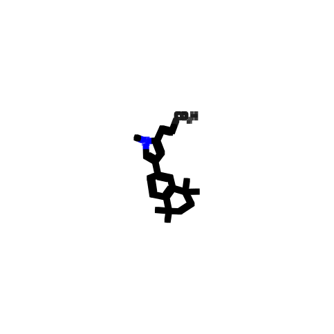 Cn1cc(-c2ccc3c(c2)C(C)(C)CCC3(C)C)cc1C=CC(=O)O